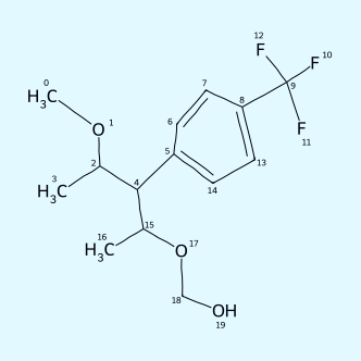 COC(C)C(c1ccc(C(F)(F)F)cc1)C(C)OCO